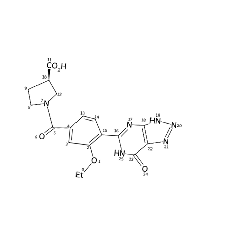 CCOc1cc(C(=O)N2CC[C@@H](C(=O)O)C2)ccc1-c1nc2[nH]nnc2c(=O)[nH]1